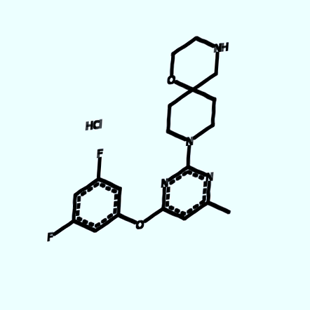 Cc1cc(Oc2cc(F)cc(F)c2)nc(N2CCC3(CC2)CNCCO3)n1.Cl